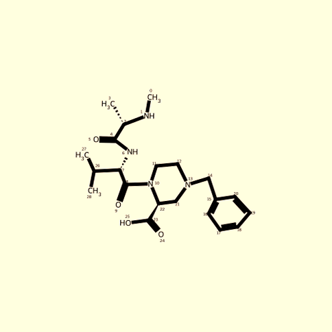 CN[C@@H](C)C(=O)N[C@H](C(=O)N1CCN(Cc2ccccc2)C[C@H]1C(=O)O)C(C)C